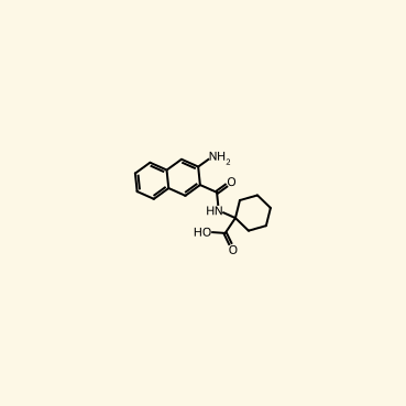 Nc1cc2ccccc2cc1C(=O)NC1(C(=O)O)CCCCC1